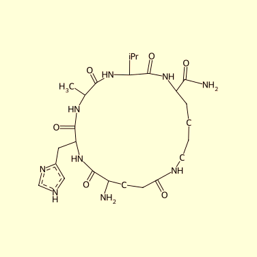 CC1NC(=O)C(Cc2c[nH]cn2)NC(=O)C(N)CCC(=O)NCCCCC(C(N)=O)NC(=O)C(C(C)C)NC1=O